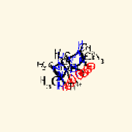 CC1=Cc2cc3[nH]c(cc4nc(cc5[nH]c(cc1n2)cc5C)C(C)=C4CCC(=O)[O-])c(CCC(=O)[O-])c3C.CC1=Cc2cc3[nH]c(cc4nc(cc5[nH]c(cc1n2)cc5C)C(C)=C4CCC(=O)[O-])c(CCC(=O)[O-])c3C.[Ti+4]